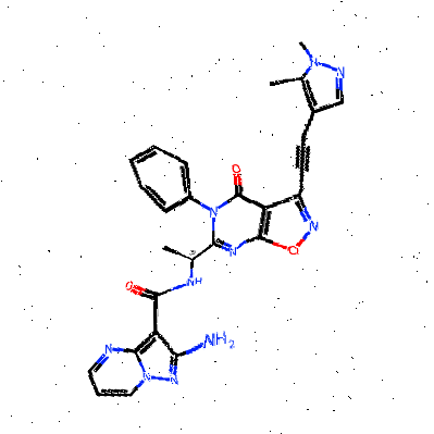 Cc1c(C#Cc2noc3nc([C@H](C)NC(=O)c4c(N)nn5cccnc45)n(-c4ccccc4)c(=O)c23)cnn1C